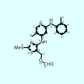 CSc1nc(Nc2cc(Nc3ccccc3C)ncc2C)c(COC=O)s1